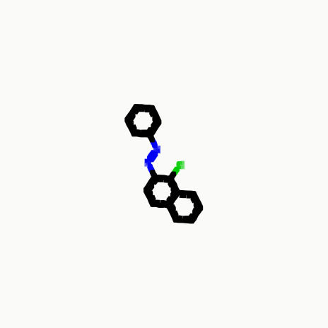 Clc1c(N=Nc2ccccc2)ccc2ccccc12